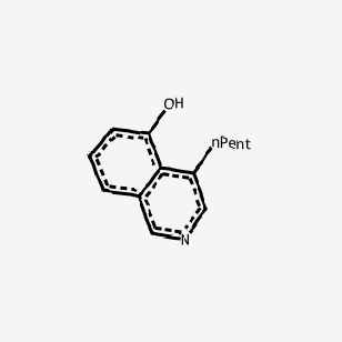 CCCCCc1cncc2cccc(O)c12